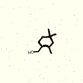 CC1=C(CO)CCC(C)(C)C1